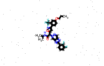 CCCOc1ccc(-c2cc(C(C(=O)NC(C)C)n3cc4nc(-c5cccc(F)c5F)nc-4cn3)on2)c(C(F)(F)F)c1